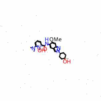 COc1cc2nn([C@H]3CC[C@](C)(O)CC3)cc2cc1NC(=O)c1cccc(N(C)C)[n+]1O